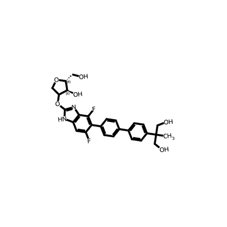 CC(CO)(CO)c1ccc(-c2ccc(-c3c(F)cc4[nH]c(OC5CO[C@H](CO)[C@H]5O)nc4c3F)cc2)cc1